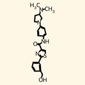 CN(C)C1CCN(c2ccc(NC(=O)c3csc(-c4cccc(CO)c4)n3)cc2)C1